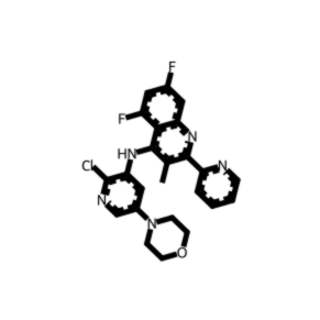 Cc1c(-c2ccccn2)nc2cc(F)cc(F)c2c1Nc1cc(N2CCOCC2)cnc1Cl